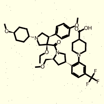 CCO[C@@]1(C(=O)N2C[C@H](c3ccc(C(F)(F)F)cc3N3CCC(C(=O)O)CC3)C[C@H]2COC)CN([C@H]2CC[C@H](OC)CC2)C[C@H]1c1ccc(OC)cc1